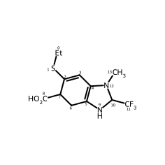 CCSC1=CC2=C(CC1C(=O)O)NC(C(F)(F)F)N2C